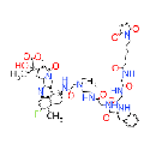 CC[C@@]1(O)C(=O)OCc2c1cc1n(c2=O)Cc2c-1nc1cc(F)c(C)c3c1c2[C@@H](NC(=O)CN(C)CCNC(=O)CNC(=O)[C@H](Cc1ccccc1)NC(=O)CNC(=O)CNC(=O)CCCCCN1C(=O)C=CC1=O)CC3